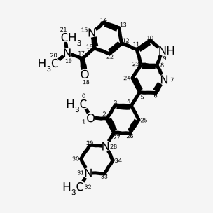 COc1cc(-c2cnc3[nH]cc(-c4ccnc(C(=O)N(C)C)c4)c3c2)ccc1N1CCN(C)CC1